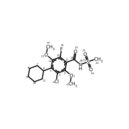 COc1c(Cl)c(C2CCCCC2)c(OC)c(F)c1C(=O)NS(C)(=O)=O